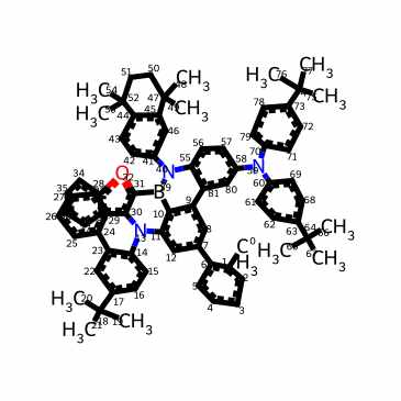 Cc1ccccc1-c1cc2c3c(c1)N(c1ccc(C(C)(C)C)cc1-c1ccccc1)c1c(oc4ccccc14)B3N(c1ccc3c(c1)C(C)(C)CCC3(C)C)c1ccc(N(c3ccc(C(C)(C)C)cc3)c3ccc(C(C)(C)C)cc3)cc1-2